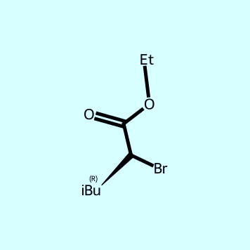 CCOC(=O)C(Br)[C@H](C)CC